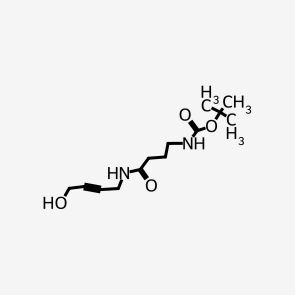 CC(C)(C)OC(=O)NCCCC(=O)NCC#CCO